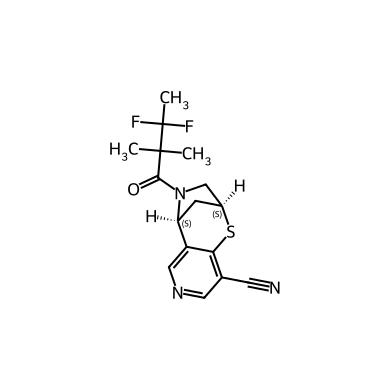 CC(F)(F)C(C)(C)C(=O)N1C[C@@H]2C[C@H]1c1cncc(C#N)c1S2